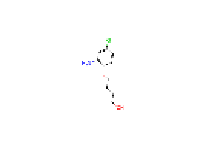 Nc1cc(Cl)ccc1OCCCCO